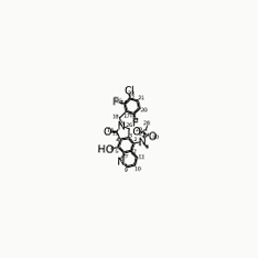 CN(c1c2c(c(O)c3ncccc13)C(=O)N(Cc1c(F)ccc(Cl)c1F)C2)S(C)(=O)=O